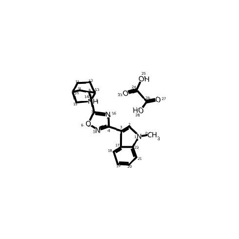 Cn1cc(-c2noc(C3CC4CCC3NC4)n2)c2ccccc21.O=C(O)C(=O)O